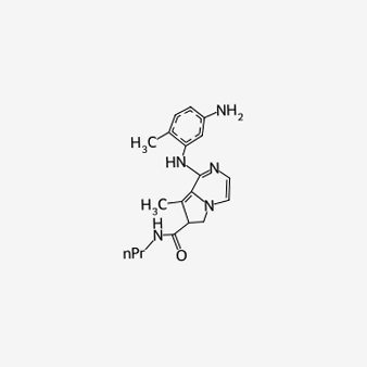 CCCNC(=O)C1CN2C=CN=C(Nc3cc(N)ccc3C)C2=C1C